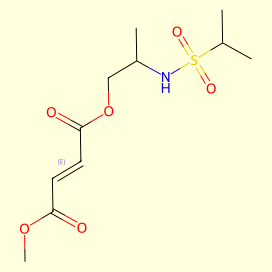 COC(=O)/C=C/C(=O)OCC(C)NS(=O)(=O)C(C)C